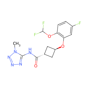 Cn1nnnc1NC(=O)[C@H]1C[C@H](Oc2cc(F)ccc2OC(F)F)C1